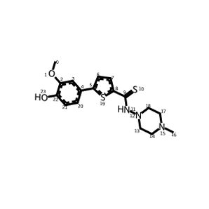 COc1cc(-c2ccc(C(=S)NN3CCN(C)CC3)s2)ccc1O